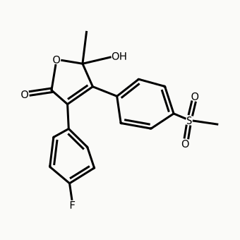 CC1(O)OC(=O)C(c2ccc(F)cc2)=C1c1ccc(S(C)(=O)=O)cc1